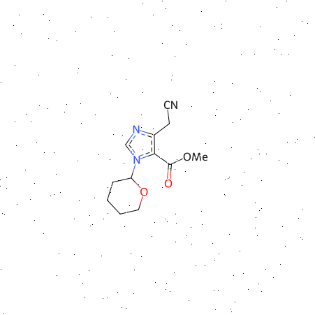 COC(=O)c1c(CC#N)ncn1C1CCCCO1